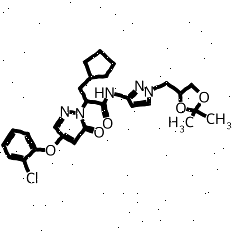 CC1(C)OCC(Cn2ccc(NC(=O)C(CC3CCCC3)n3ncc(Oc4ccccc4Cl)cc3=O)n2)O1